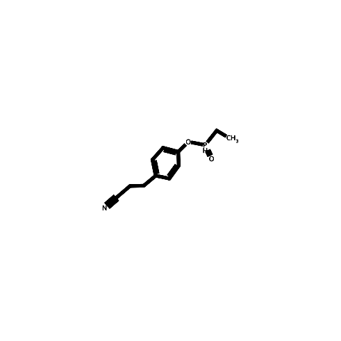 CC[PH](=O)Oc1ccc(CCC#N)cc1